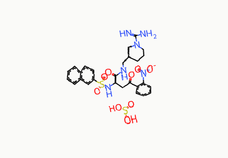 N=C(N)N1CCCC(CNC(=O)C(CC(=O)c2ccccc2[N+](=O)[O-])NS(=O)(=O)c2ccc3ccccc3c2)C1.O=S(O)O